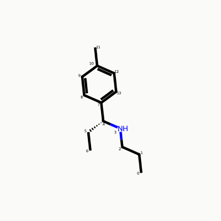 CCCN[C@H](CC)c1ccc(C)cc1